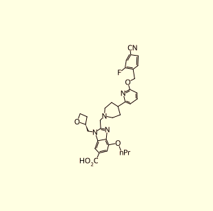 CCCOc1cc(C(=O)O)cc2c1nc(CN1CCC(c3cccc(OCc4ccc(C#N)cc4F)n3)CC1)n2C[C@@H]1CCO1